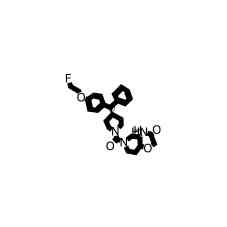 O=C1COC2CCN(C(=O)N3CCC([C@H](c4ccccc4)c4ccc(OCCF)cc4)CC3)C[C@H]2N1